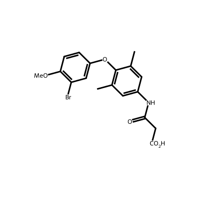 COc1ccc(Oc2c(C)cc(NC(=O)CC(=O)O)cc2C)cc1Br